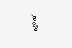 Fc1ccccc1-c1nc2c([nH]1)CN(C1CCc3ccc(Cl)cc3C1)CC2